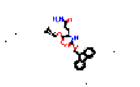 NC(=O)CC[C@H](NC(=O)OCC1c2ccccc2-c2ccccc21)C(=O)OCC1CC1